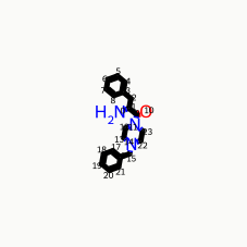 NC(Cc1ccccc1)C(=O)N1CCN(Cc2ccccc2)CC1